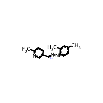 Cc1ccc(N/N=C/c2ccc(C(F)(F)F)nc2)c(C)c1